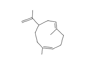 C=C(C)C1C/C=C(\C)CC/C=C(/C)CC1